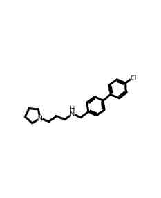 Clc1ccc(-c2ccc(CNCCCN3CCCC3)cc2)cc1